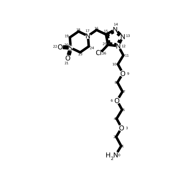 NCCOCCOCCOCCn1nnc(CN2CCS(=O)(=O)CC2)c1Cl